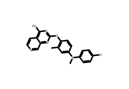 CCc1ccc(N(C)c2ccc(Oc3nc(O)c4ccncc4n3)c(C)c2)cc1